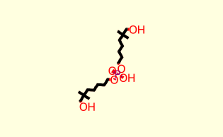 CC(C)(CO)CCCCCOP(=O)(O)OCCCCCC(C)(C)CO